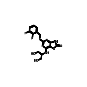 O=c1[nH]c2nc(SCc3cccc(F)c3F)nc(NC(CO)CO)c2s1